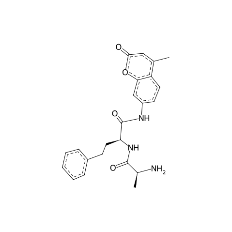 Cc1cc(=O)oc2cc(NC(=O)[C@H](CCc3ccccc3)NC(=O)[C@H](C)N)ccc12